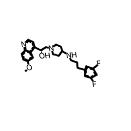 COc1ccc2nccc([C@@H](O)CN3CCC(NCCCc4cc(F)cc(F)c4)CC3)c2c1